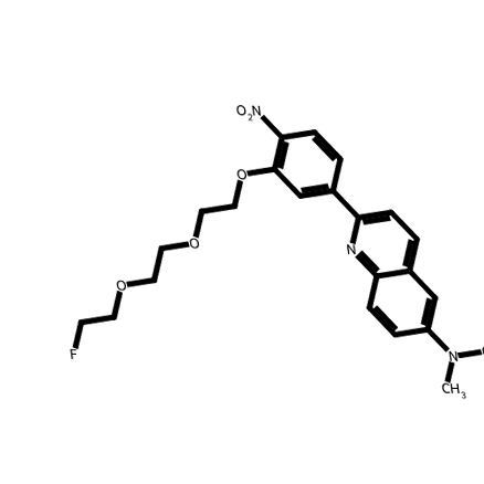 CN(C)c1ccc2nc(-c3ccc([N+](=O)[O-])c(OCCOCCOCCF)c3)ccc2c1